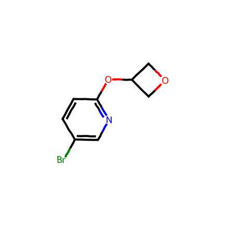 Brc1ccc(OC2COC2)nc1